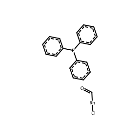 O=[CH][Rh][Cl].c1ccc(P(c2ccccc2)c2ccccc2)cc1